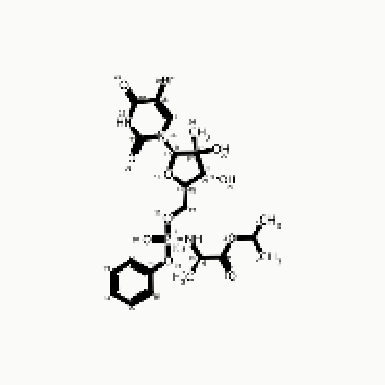 CC(C)OC(=O)[C@@H](C)N[P@](=O)(OC[C@H]1O[C@@H](n2cc(Br)c(=O)[nH]c2=O)[C@](C)(O)[C@@H]1O)Oc1ccccc1